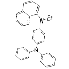 CCN(c1ccc(N(c2ccccc2)c2ccccc2)cc1)c1cccc2ccccc12